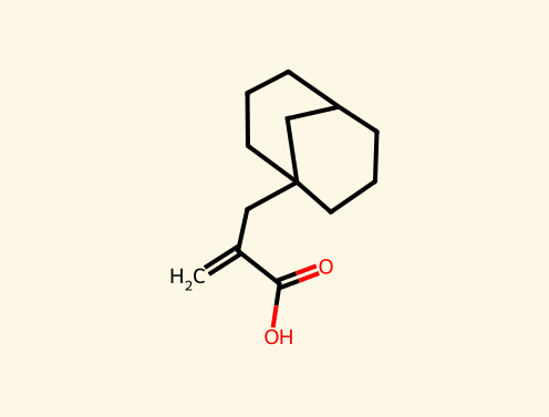 C=C(CC12CCCC(CCC1)C2)C(=O)O